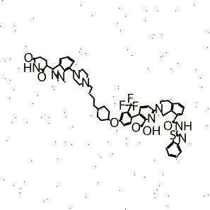 Cn1nc(C2CCC(=O)NC2=O)c2cccc(N3CCN(CCCCC4CCC(Oc5ccc(-c6ccc(N7CCc8cccc(C(=O)Nc9nc%10ccccc%10s9)c8C7)nc6C(=O)O)c(C(F)(F)F)c5)CC4)CC3)c21